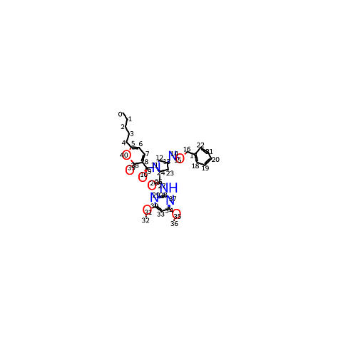 CCCCCc1ccc(C(=O)N2CC(=NOCc3ccccc3)C[C@H]2C(=O)Nc2nc(OC)cc(OC)n2)c(=O)o1